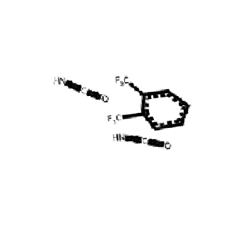 FC(F)(F)c1ccccc1C(F)(F)F.N=C=O.N=C=O